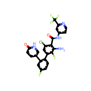 Nc1c(F)c(-c2ccc(F)cc2-c2ccc(=O)[nH]c2)cc(Cl)c1C(=O)Nc1ccnc(C(F)(F)F)c1